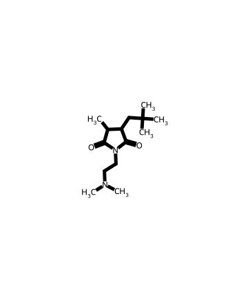 CC1C(=O)N(CCN(C)C)C(=O)C1CC(C)(C)C